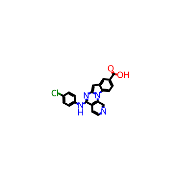 O=C(O)c1ccc2c(c1)cc1nc(Nc3ccc(Cl)cc3)c3ccncc3n12